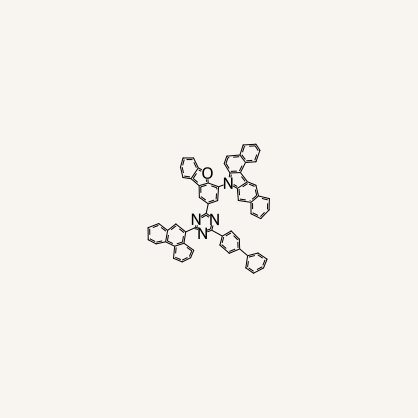 c1ccc(-c2ccc(-c3nc(-c4cc(-n5c6cc7ccccc7cc6c6c7ccccc7ccc65)c5oc6ccccc6c5c4)nc(-c4cc5ccccc5c5ccccc45)n3)cc2)cc1